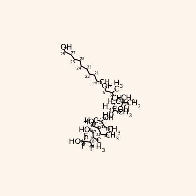 CC(C)(C)O.CC(C)CO.CC(C)O.CCC(C)O.CCCCCCCCCCO.CCCCO.CCCO.OC(F)(F)CF